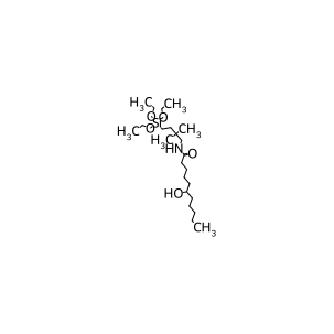 CCCCCC(O)CCCCC(=O)NCC(C)(C)CC[Si](OCC)(OCC)OCC